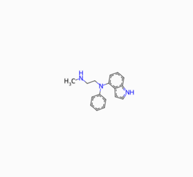 CNCCN(c1ccccc1)c1cccc2[nH]ccc12